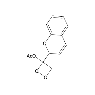 CC(=O)OC1(C2C=Cc3ccccc3O2)COO1